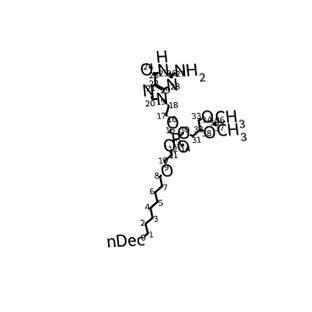 CCCCCCCCCCCCCCCCCCOCCOP(=O)(COCCn1cnc2c(=O)[nH]c(N)nc21)OCC1COC(C)(C)O1